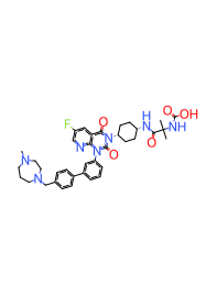 CN1CCCN(Cc2ccc(-c3cccc(-n4c(=O)n([C@H]5CC[C@@H](NC(=O)C(C)(C)NC(=O)O)CC5)c(=O)c5cc(F)cnc54)c3)cc2)CC1